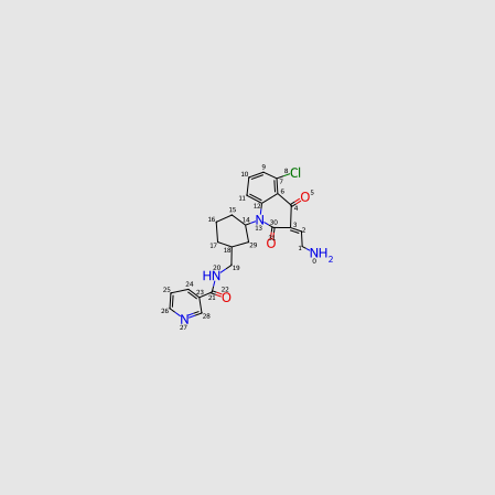 NCC=C1C(=O)c2c(Cl)cccc2N(C2CCCC(CNC(=O)c3cccnc3)C2)C1=O